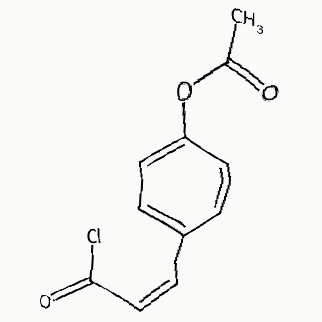 CC(=O)Oc1ccc(/C=C\C(=O)Cl)cc1